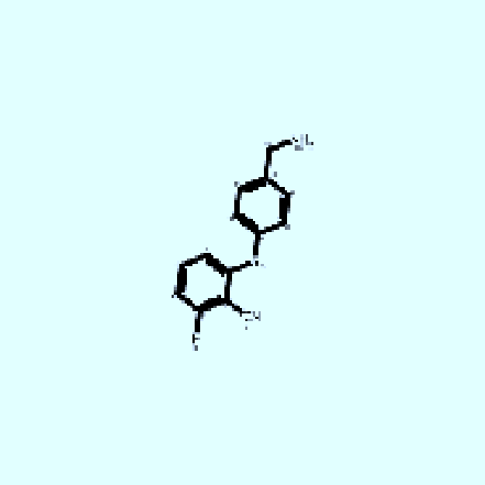 N#Cc1c(F)cccc1Sc1ccc(CN)cc1